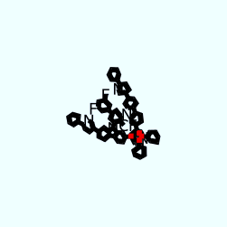 Fc1cc(F)cc(-c2cc(-n3c4cc(-c5ccc(-c6ccccc6)nc5)ccc4c4ccc(-c5ccc(-c6ccccc6)nc5)cc43)c(C(F)(F)F)c(-n3c4cc(-c5ccc(-c6ccccc6)nc5)ccc4c4ccc(-c5ccc(-c6ccccc6)nc5)cc43)c2)c1